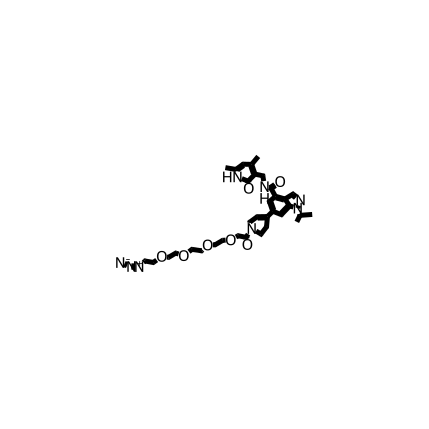 Cc1cc(C)c(CNC(=O)c2cc(C3=CCN(C(=O)COCCOCCOCCOCCN=[N+]=[N-])CC3)cc3c2cnn3C(C)C)c(=O)[nH]1